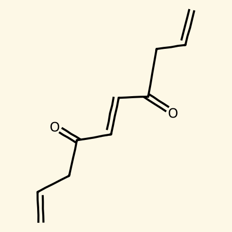 C=CCC(=O)C=CC(=O)CC=C